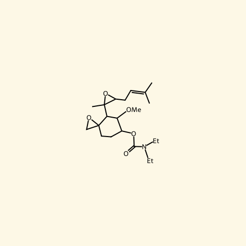 CCN(CC)C(=O)OC1CCC2(CO2)C(C2(C)OC2CC=C(C)C)C1OC